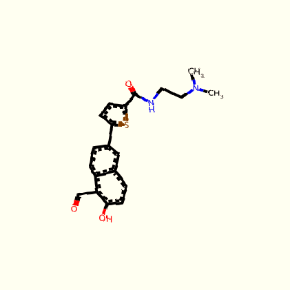 CN(C)CCNC(=O)c1ccc(-c2ccc3c(C=O)c(O)ccc3c2)s1